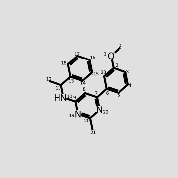 COc1cccc(-c2cc(NC(C)c3c[c]ccc3)nc(C)n2)c1